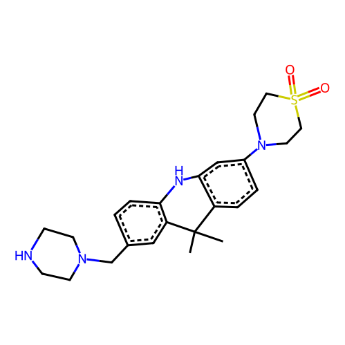 CC1(C)c2ccc(N3CCS(=O)(=O)CC3)cc2Nc2ccc(CN3CCNCC3)cc21